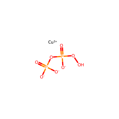 O=P([O-])([O-])OP(=O)([O-])OO.[Cu+3]